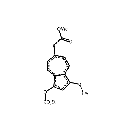 CCCOc1cc(OC(=O)OCC)c2ccc(CC(=O)OC)ccc1-2